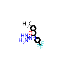 Cc1ccc(CC(C(=O)NC(=N)N)c2ccc(C(F)(F)F)cc2)cc1